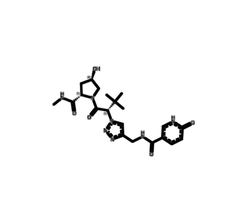 CNC(=O)[C@@H]1C[C@@H](O)CN1C(=O)[C@@H](n1cc(CNC(=O)c2ccc(=O)[nH]c2)nn1)C(C)(C)C